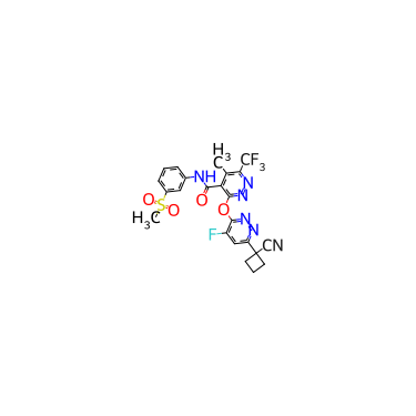 Cc1c(C(F)(F)F)nnc(Oc2nnc(C3(C#N)CCC3)cc2F)c1C(=O)Nc1cccc(S(C)(=O)=O)c1